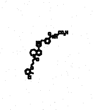 Cc1c(Cl)cccc1OCCCC(=O)N1CCCCc2c(-c3cnn(Cc4cccc(C(=O)NCCC(=O)O)c4)c3)cccc21